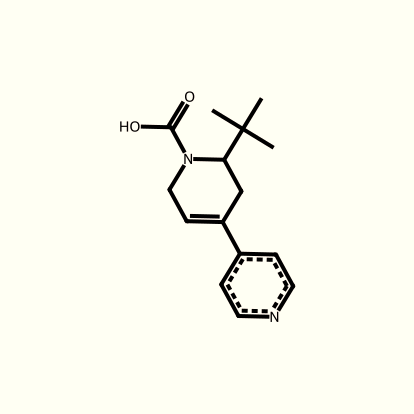 CC(C)(C)C1CC(c2ccncc2)=CCN1C(=O)O